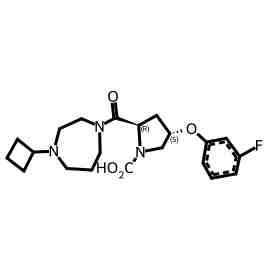 O=C([C@H]1C[C@H](Oc2cccc(F)c2)CN1C(=O)O)N1CCCN(C2CCC2)CC1